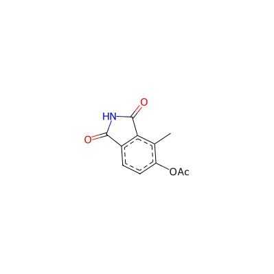 CC(=O)Oc1ccc2c(c1C)C(=O)NC2=O